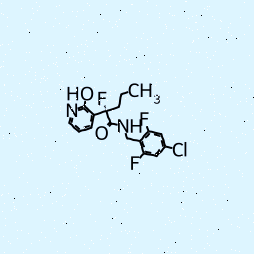 CCC[C@@](F)(C(=O)NCc1c(F)cc(Cl)cc1F)c1cccnc1O